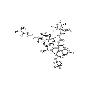 CC(C)[C@H](N)C(=O)OCCCCC(=O)N(c1nn(CC(F)(F)F)c2c(-c3ccc(CCC(C)(C)S(C)(=O)=O)nc3[C@H](Cc3cc(F)cc(F)c3)NC(=O)Cn3nc(C(F)(F)F)c4c3C(F)(F)C3C[C@H]43)ccc(Cl)c12)S(C)(=O)=O